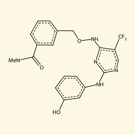 CNC(=O)c1cccc(CONc2nc(Nc3cccc(O)c3)ncc2C(F)(F)F)c1